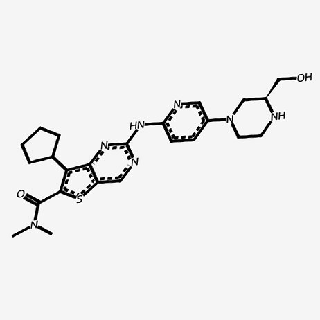 CN(C)C(=O)c1sc2cnc(Nc3ccc(N4CCN[C@H](CO)C4)cn3)nc2c1C1CCCC1